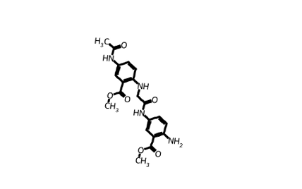 COC(=O)c1cc(NC(=O)CNc2ccc(NC(C)=O)cc2C(=O)OC)ccc1N